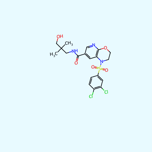 CC(C)(CO)CNC(=O)c1cnc2c(c1)N(S(=O)(=O)c1ccc(Cl)c(Cl)c1)CCO2